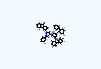 c1ccc(-c2nc(-c3cc(-n4c5ccccc5c5ccccc54)cc(-n4c5ccccc5c5ccccc54)c3)cc(-c3ccc4c(c3)-c3ccccc3C4)n2)cc1